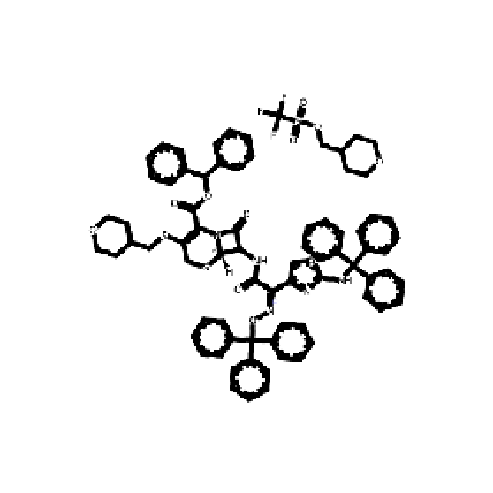 O=C(OC(c1ccccc1)c1ccccc1)C1=C(SCC2CCOCC2)CS[C@H]2C(NC(=O)/C(=N\OC(c3ccccc3)(c3ccccc3)c3ccccc3)c3csc(NC(c4ccccc4)(c4ccccc4)c4ccccc4)n3)C(=O)N12.O=S(=O)(OCC1CCOCC1)C(F)(F)F